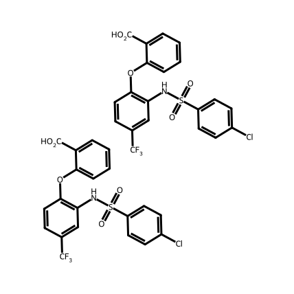 O=C(O)c1ccccc1Oc1ccc(C(F)(F)F)cc1NS(=O)(=O)c1ccc(Cl)cc1.O=C(O)c1ccccc1Oc1ccc(C(F)(F)F)cc1NS(=O)(=O)c1ccc(Cl)cc1